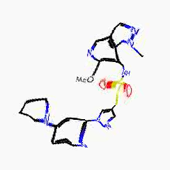 COc1ncc2cnn(C)c2c1NS(=O)(=O)c1cnn(-c2cc(N3CCCC3)ccn2)c1